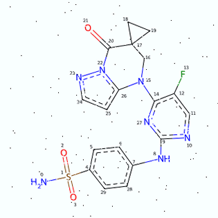 NS(=O)(=O)c1ccc(Nc2ncc(F)c(N3CC4(CC4)C(=O)n4nccc43)n2)cc1